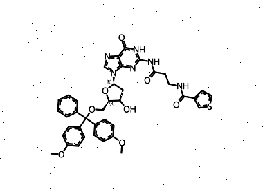 COc1ccc(C(OC[C@H]2O[C@@H](n3cnc4c(=O)[nH]c(NC(=O)CCNC(=O)c5ccsc5)nc43)CC2O)(c2ccccc2)c2ccc(OC)cc2)cc1